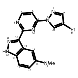 CCc1cnn(-c2ccnc(-c3n[nH]c4ccc(NC)cc34)n2)c1